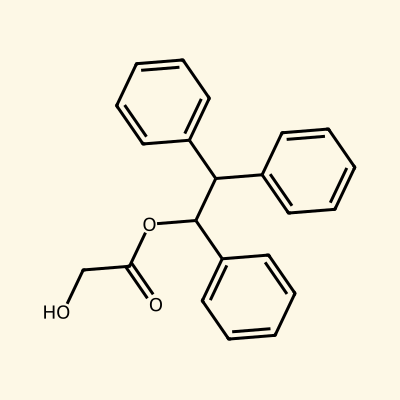 O=C(CO)OC(c1ccccc1)C(c1ccccc1)c1ccccc1